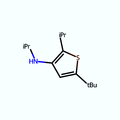 CC(C)Nc1cc(C(C)(C)C)sc1C(C)C